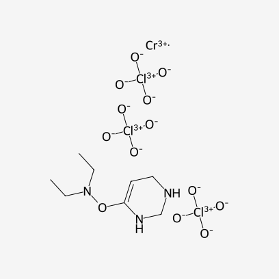 CCN(CC)OC1=CCNCN1.[Cr+3].[O-][Cl+3]([O-])([O-])[O-].[O-][Cl+3]([O-])([O-])[O-].[O-][Cl+3]([O-])([O-])[O-]